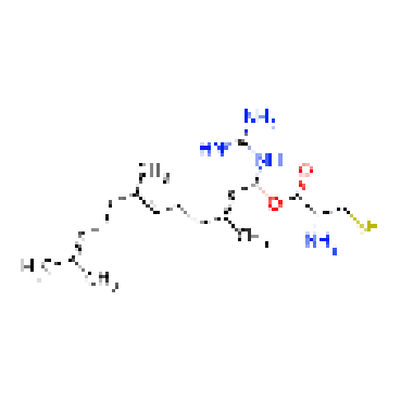 CC(C)=CCCC(C)=CCCC(C)=CC(NC(=N)N)OC(=O)[C@@H](N)CS